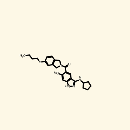 CCCCOc1ccc2c(c1)CN(C(=O)c1cc3c(NC4CCCC4)n[nH]c3cc1O)C2